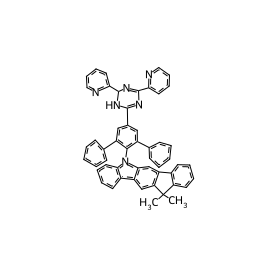 CC1(C)c2ccccc2-c2cc3c(cc21)c1ccccc1n3-c1c(-c2ccccc2)cc(C2=NC(c3ccccn3)=NC(c3ccccn3)N2)cc1-c1ccccc1